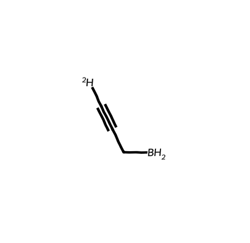 [2H]C#CCB